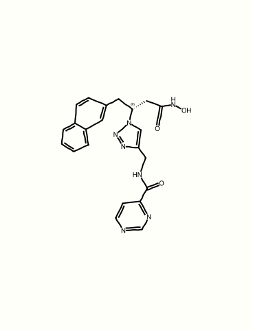 O=C(C[C@@H](Cc1ccc2ccccc2c1)n1cc(CNC(=O)c2ccncn2)nn1)NO